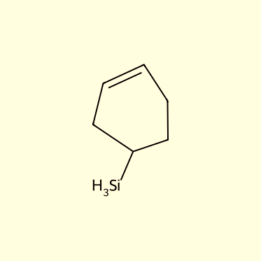 [SiH3]C1CC=CCC1